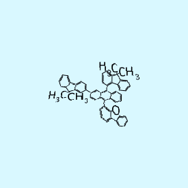 CC1(C)c2ccccc2-c2ccc(-c3ccc4c(-c5cccc6c5oc5ccccc56)c5ccccc5c(-c5cccc6c5-c5ccccc5C6(C)C)c4c3)cc21